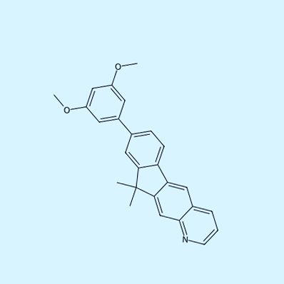 COc1cc(OC)cc(-c2ccc3c(c2)C(C)(C)c2cc4ncccc4cc2-3)c1